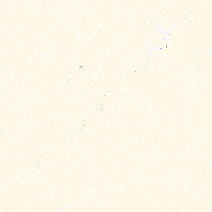 CC(=O)[O-].CCn1cc[n+](CCOCCOCCOCCOC)c1